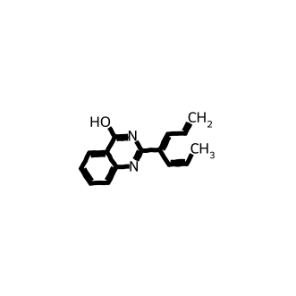 C=C/C=C(\C=C/C)c1nc(O)c2ccccc2n1